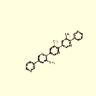 Cc1cc(-c2cccnc2)cnc1-c1cnc(-c2cnc(-c3cccnc3)c(C)c2)c(C)c1